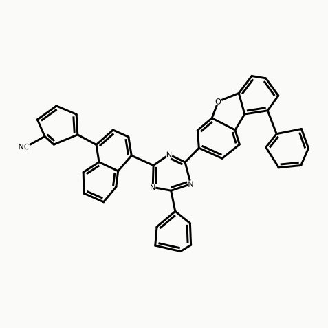 N#Cc1cccc(-c2ccc(-c3nc(-c4ccccc4)nc(-c4ccc5c(c4)oc4cccc(-c6ccccc6)c45)n3)c3ccccc23)c1